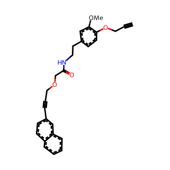 C#CCOc1ccc(CCNC(=O)COCC#Cc2ccc3ccccc3c2)cc1OC